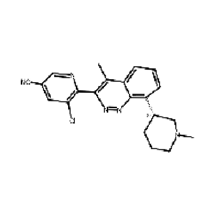 Cc1c(-c2ncc(C#N)cc2Cl)nnc2c([C@H]3CCCN(C)C3)cccc12